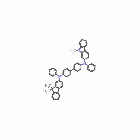 Cn1c2c(c3ccccc31)=CCC(N(C1=CC=C(C3=CC=C(N(c4ccccc4)c4ccc5c(c4)C(C)(C)c4ccccc4-5)CC3)CC1)c1ccccc1)C=2